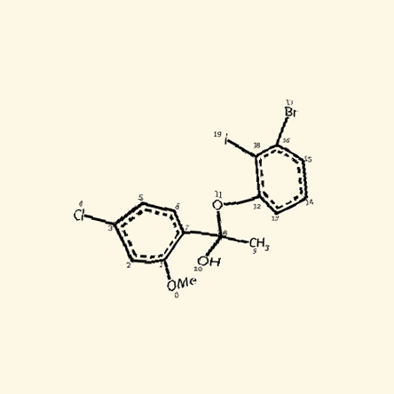 COc1cc(Cl)ccc1C(C)(O)Oc1cccc(Br)c1I